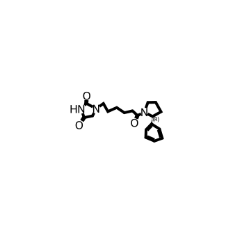 O=C1CN(CCCCCC(=O)N2CCC[C@@H]2c2ccccc2)C(=O)N1